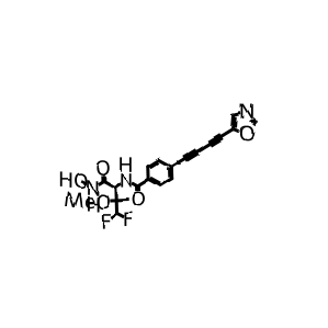 COC(C)(C(F)F)C(NC(=O)c1ccc(C#CC#Cc2cnco2)cc1)C(=O)NO